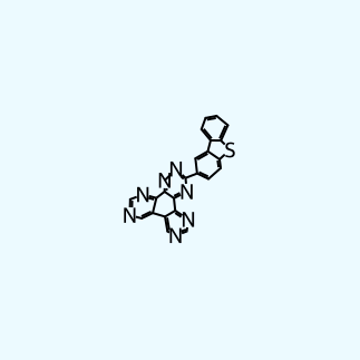 c1ccc2c(c1)sc1ccc(-c3nnc4c5ncncc5c5cncnc5c4n3)cc12